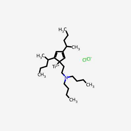 CCCCN(CCCC)CC[C]1([Ti+2])C=C(C(C)CCC)C=C1C(C)CCC.[Cl-].[Cl-]